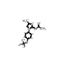 CC(=O)N=c1sc(C)cn1-c1ccc(OC(F)(F)F)cc1